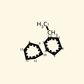 CC.c1ccccc1.c1ccccc1